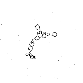 CC(C)(C)OC(=O)N1CCC2(CCN(Cc3ccc(-c4ccc(OCc5ccccc5)nc4OCc4ccccc4)c(F)c3)CC2)CC1